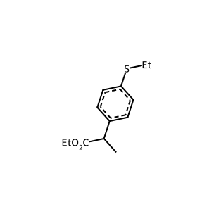 CCOC(=O)C(C)c1ccc(SCC)cc1